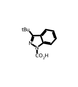 CC(C)(C)c1nn(C(=O)O)c2ccccc12